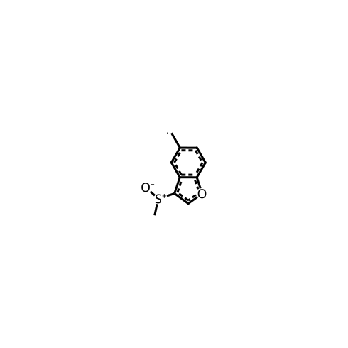 [CH2]c1ccc2occ([S+](C)[O-])c2c1